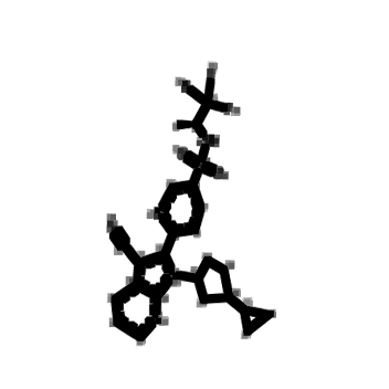 C[C@H](NS(=O)(=O)c1ccc(-c2c(C#N)c3cccnc3n2C2CCC(C3CC3)C2)nc1)C(F)(F)F